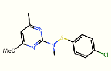 COc1cc(C)nc(N(C)Sc2ccc(Cl)cc2)n1